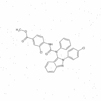 COC(=O)c1ccc(NC(=O)N(c2ccccc2)c2c3ccccc3nn2-c2ccc(Cl)cc2)c(Cl)c1